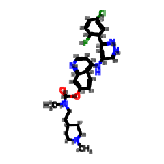 CN1CCC(CCN(C)C(=O)Oc2ccc3c(Nc4cnnc(-c5cc(Cl)ccc5F)c4)ccnc3c2)CC1